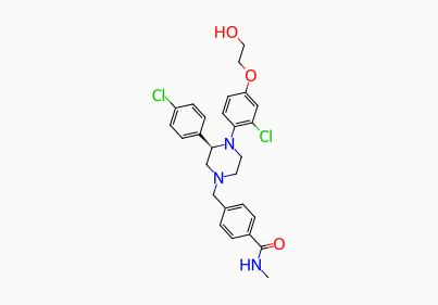 CNC(=O)c1ccc(CN2CCN(c3ccc(OCCO)cc3Cl)[C@H](c3ccc(Cl)cc3)C2)cc1